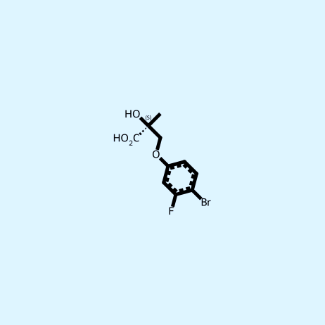 C[C@](O)(COc1ccc(Br)c(F)c1)C(=O)O